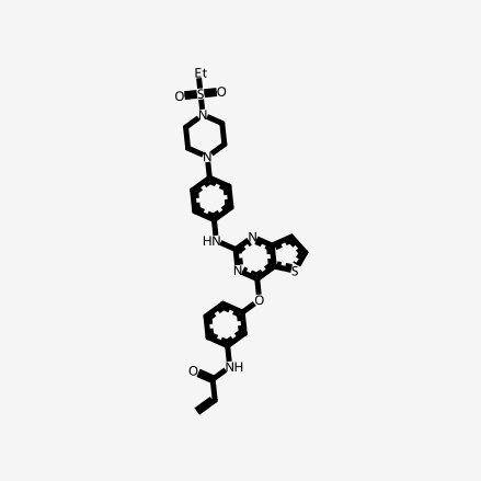 C=CC(=O)Nc1cccc(Oc2nc(Nc3ccc(N4CCN(S(=O)(=O)CC)CC4)cc3)nc3ccsc23)c1